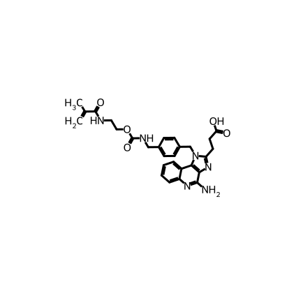 C=C(C)C(=O)NCCOC(=O)NCc1ccc(Cn2c(CCC(=O)O)nc3c(N)nc4ccccc4c32)cc1